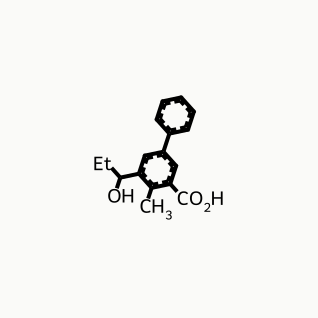 CCC(O)c1cc(-c2ccccc2)cc(C(=O)O)c1C